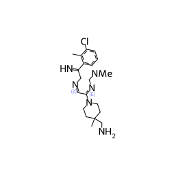 CNC/N=C(\C=N/CC(=N)c1cccc(Cl)c1C)N1CCC(C)(CN)CC1